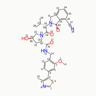 COc1cc(-c2scnc2C)ccc1CNC(=O)[C@@H]1C[C@@H](O)CN1C(=O)[C@H](C(C)C)N1Cc2cccc(C#N)c2C1=O